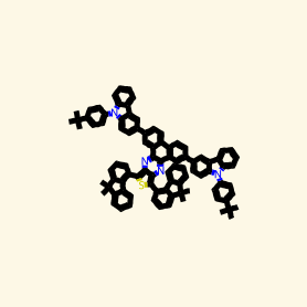 CC(C)(C)c1ccc(-n2c3ccccc3c3cc(-c4ccc5c6ccc(-c7ccc8c(c7)c7ccccc7n8-c7ccc(C(C)(C)C)cc7)cc6c6nc7c(-c8cccc9c8-c8ccccc8C9(C)C)sc(-c8cccc9c8-c8ccccc8C9(C)C)c7nc6c5c4)ccc32)cc1